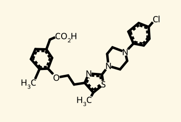 Cc1ccc(CC(=O)O)cc1OCCc1nc(N2CCN(c3ccc(Cl)cc3)CC2)sc1C